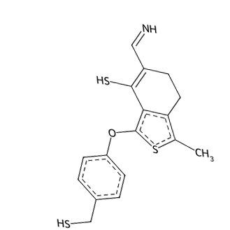 Cc1sc(Oc2ccc(CS)cc2)c2c1CCC(C=N)=C2S